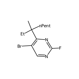 CCCCCC(C)(CC)c1nc(F)ncc1Br